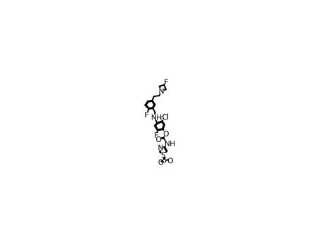 O=C(NC1=CS(=S(=O)=O)C=N1)Oc1cc(Cl)c(NCc2cc(CCN3CC(F)C3)ccc2F)cc1F